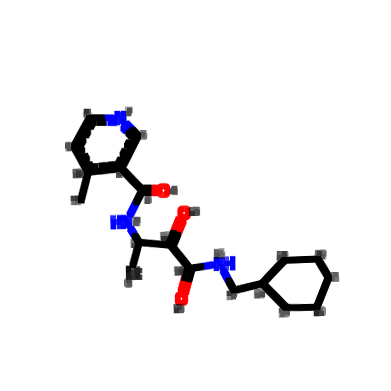 CCC(NC(=O)c1cnccc1C)C(=O)C(=O)NCC1CCCCC1